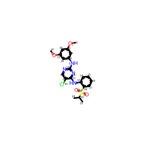 COc1cc(Nc2ncc(Cl)c(Nc3ccccc3S(=O)(=O)C(C)C)n2)cc(OC)c1